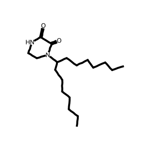 CCCCCCCC(CCCCCCC)N1CCNC(=O)C1=O